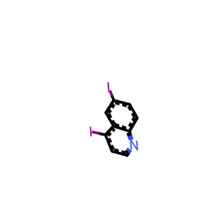 Ic1ccc2nccc(I)c2c1